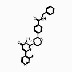 Cn1c(N2CCO[C@@H](c3ccc(C(=O)NCc4ccccc4)cc3)C2)nc(-c2ccncc2F)cc1=O